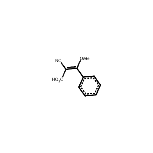 COC(=C(C#N)C(=O)O)c1ccccc1